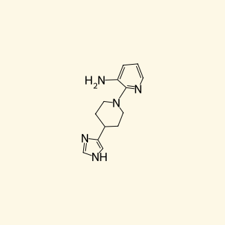 Nc1cccnc1N1CCC(c2c[nH]cn2)CC1